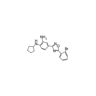 Nc1cc(-c2noc(-c3ccccc3Br)n2)ccc1NC1CCCC1